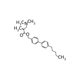 C=C(CN(C)C)C(=O)OCc1ccc(-c2ccc(CCCCC)cc2)cc1